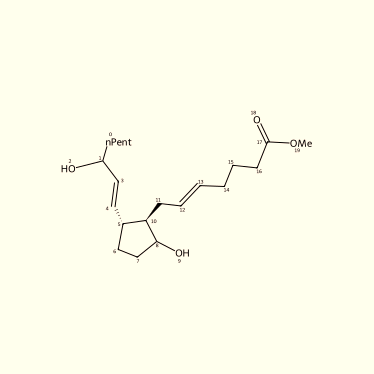 CCCCCC(O)C=C[C@H]1CCC(O)[C@@H]1CC=CCCCC(=O)OC